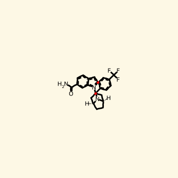 NC(=O)c1ccc2ccn(C3C[C@H]4CC[C@@H](C3)N4Cc3ccc(C(F)(F)F)cc3)c2c1